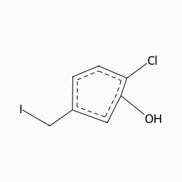 Oc1cc(CI)ccc1Cl